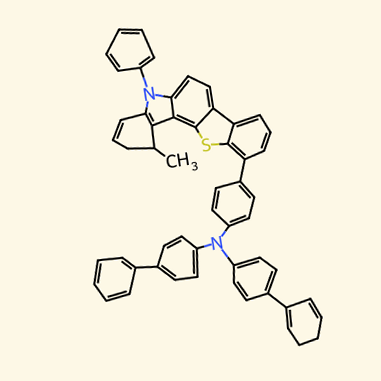 CC1CC=Cc2c1c1c3sc4c(-c5ccc(N(c6ccc(C7=CCCC=C7)cc6)c6ccc(-c7ccccc7)cc6)cc5)cccc4c3ccc1n2-c1ccccc1